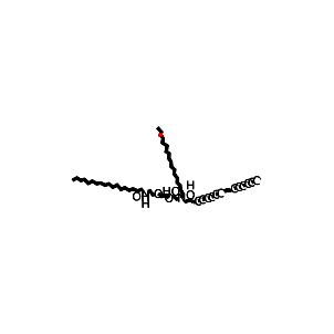 C=C=C=C=C=C=C=C=C=C=C=C=C=C=C=CC(O)CN(CCOCCOCCNCC(O)CCCCCCCCCCCCCCCC)CC(O)CCCCCCCCCCCCCCCC